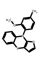 COc1cc(C)ccc1N1c2ccccc2Sc2ccoc21